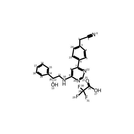 N#CCc1ccc(-c2cc(NC[C@H](O)c3ccccc3)ncn2)cc1.O=C(O)C(F)(F)F